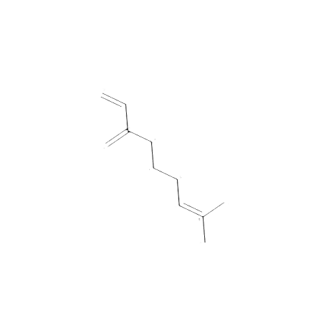 C=CC(=C)CCCC=C(C)C